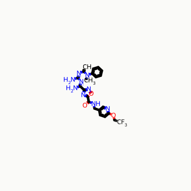 C=C(/N=C(N)\N=C(/N)c1noc(C(=O)NCc2ccc(OCC(F)(F)F)nc2)n1)N(C)c1ccccc1